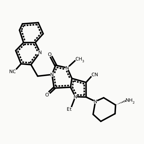 CCn1c(N2CCC[C@@H](N)C2)c(C#N)c2c1c(=O)n(Cc1nc3ccccc3cc1C#N)c(=O)n2C